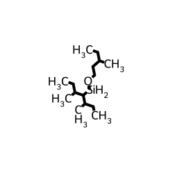 CCC(C)CCO[SiH2]C(C(C)CC)C(C)CC